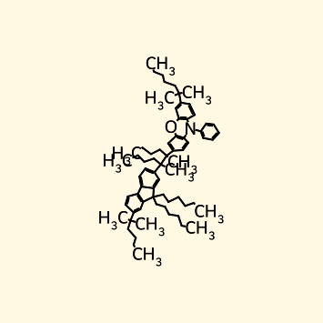 CCCCCCC1(CCCCCC)c2cc(C(C)(C)CCCC)ccc2-c2ccc(C(C)(CCCC)C(C)(CCCC)c3ccc4c(c3)Oc3cc(C(C)(C)CCCCC)ccc3N4c3ccccc3)cc21